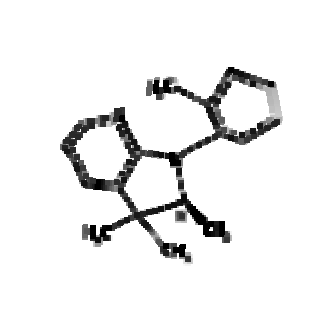 Cc1ccccc1N1c2ncccc2C(C)(C)[C@@H]1C